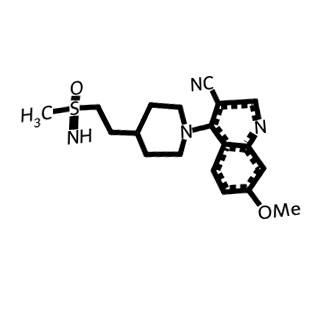 COc1ccc2c(N3CCC(CCS(C)(=N)=O)CC3)c(C#N)cnc2c1